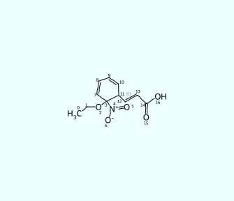 CCOC1([N+](=O)[O-])C=CC=CC1/C=C/C(=O)O